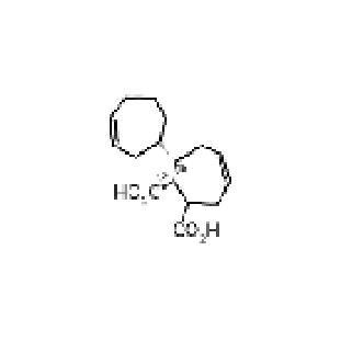 O=C(O)C1CC=CC[C@@H](C2CC=CCCC2)[C@@H]1C(=O)O